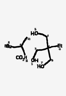 CCC(CO)(CO)CO.CCCCC(C)C(=O)O